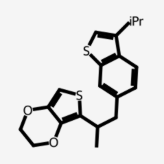 CC(C)c1csc2cc(CC(C)c3scc4c3OCCO4)ccc12